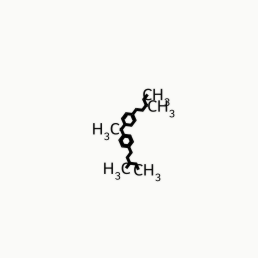 CCC(C)CCC1=CCC(C(C)c2ccc(CCC(C)CC)cc2)C=C1